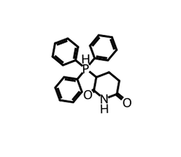 O=C1CCC([PH](c2ccccc2)(c2ccccc2)c2ccccc2)C(=O)N1